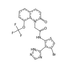 O=C(Cn1c(=O)ccc2cccc(OC(F)(F)F)c21)Nc1scc(Br)c1-c1ncn[nH]1